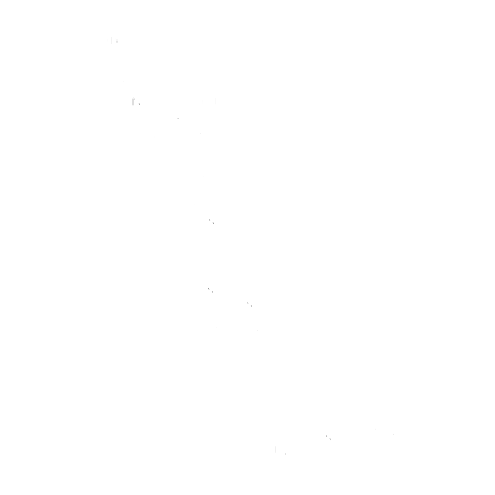 Cc1cc(-c2cccc(-c3csc(NC(CNC(=O)c4cccc(C(C)(C)CNC(=O)OC(C)(C)C)c4)=C4CCC4)n3)c2)cc(C)n1